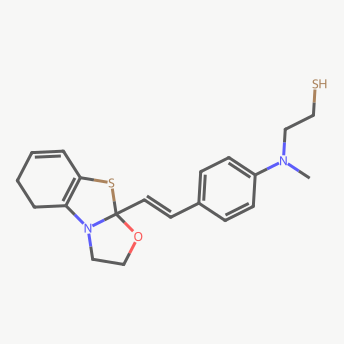 CN(CCS)c1ccc(/C=C/C23OCCN2C2=C(C=CCC2)S3)cc1